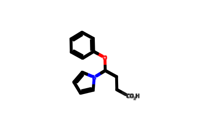 O=C(O)CCC(Oc1ccccc1)n1cccc1